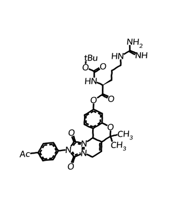 CC(=O)c1ccc(-n2c(=O)n3n(c2=O)C2C(=CC3)C(C)(C)Oc3cc(OC(=O)[C@H](CCCNC(=N)N)NC(=O)OC(C)(C)C)ccc32)cc1